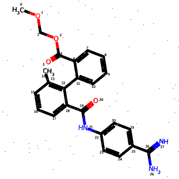 COCOC(=O)c1ccccc1-c1c(C)cccc1C(=O)Nc1ccc(C(=N)N)cc1